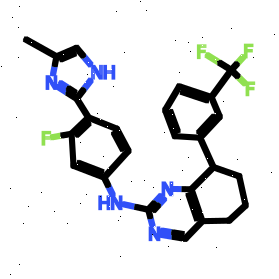 Cc1c[nH]c(-c2ccc(Nc3ncc4c(n3)C(c3cccc(C(F)(F)F)c3)CCC4)cc2F)n1